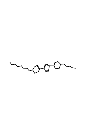 CCCCCCCCC1CC=C(c2ccc(C3CCC(CCCCC)CC3)cc2)CC1